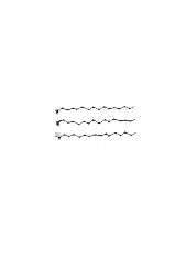 CCCCCCCCCCCCCCCC(=O)[O-].CCCCCCCCCCCCCCCC(=O)[O-].CCCCCCCCCCCCCCCC(=O)[O-].[La+3]